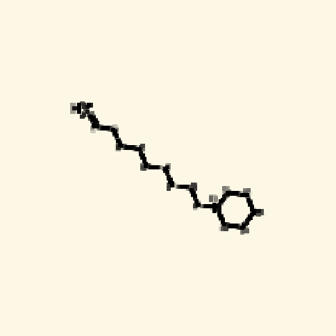 C=CCCCCCCCCN1CCCCC1